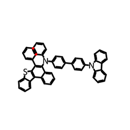 c1ccc(-c2c(N(c3ccccc3)c3ccc(-c4ccc(-n5c6ccccc6c6ccccc65)cc4)cc3)c3ccccc3c3c2sc2ccccc23)cc1